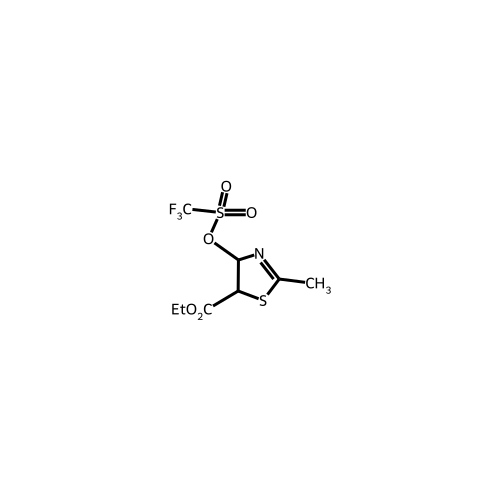 CCOC(=O)C1SC(C)=NC1OS(=O)(=O)C(F)(F)F